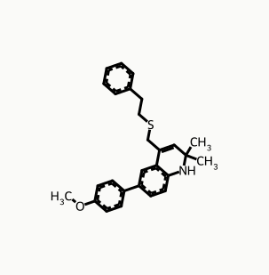 COc1ccc(-c2ccc3c(c2)C(CSCCc2ccccc2)=CC(C)(C)N3)cc1